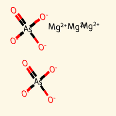 O=[As]([O-])([O-])[O-].O=[As]([O-])([O-])[O-].[Mg+2].[Mg+2].[Mg+2]